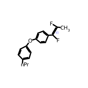 CCCc1ccc(Oc2ccc(/C(F)=C(/C)F)cc2)cc1